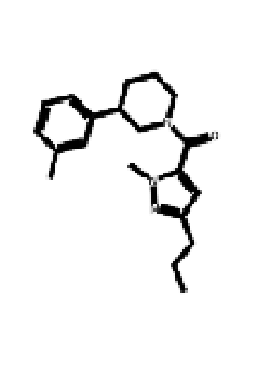 CCCc1cc(C(=O)N2CCCC(c3cccc(C)c3)C2)n(C)n1